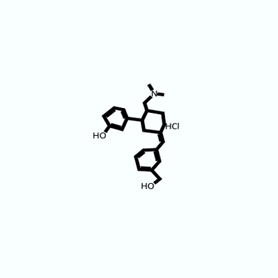 CN(C)CC1CCC(=Cc2cccc(CO)c2)CC1c1cccc(O)c1.Cl